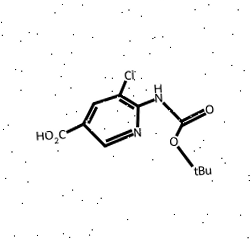 CC(C)(C)OC(=O)Nc1ncc(C(=O)O)cc1Cl